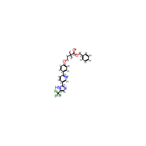 CC(C)(CCOc1ccc(-c2ccc(-c3ncc(C(F)(F)F)[nH]3)cn2)cc1)C(=O)OCc1ccccc1